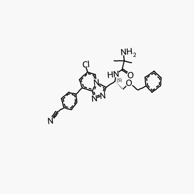 CC(C)(N)C(=O)N[C@H](COCc1ccccc1)c1nnc2c(-c3ccc(C#N)cc3)cc(Cl)cn12